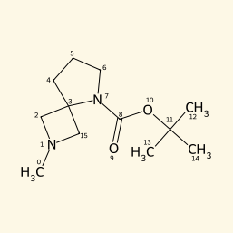 CN1CC2(CCCN2C(=O)OC(C)(C)C)C1